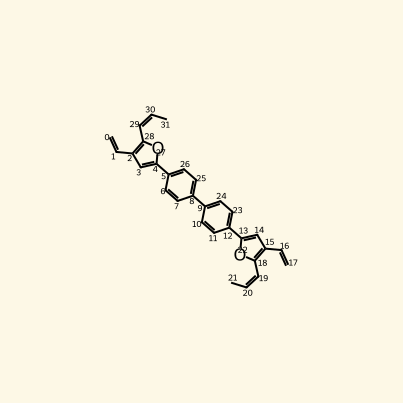 C=Cc1cc(-c2ccc(-c3ccc(-c4cc(C=C)c(/C=C\C)o4)cc3)cc2)oc1/C=C\C